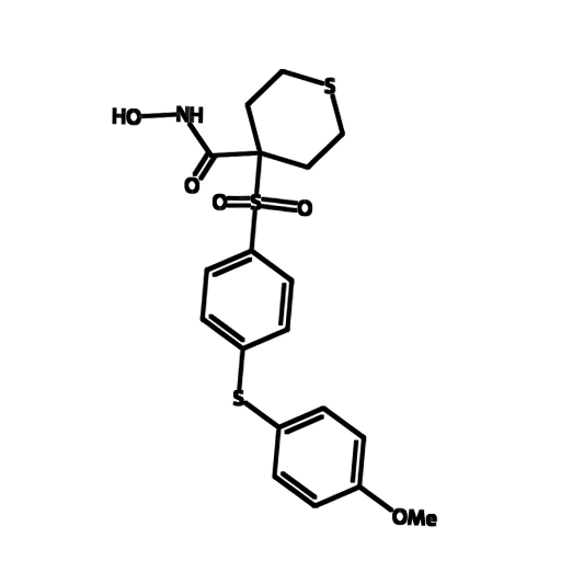 COc1ccc(Sc2ccc(S(=O)(=O)C3(C(=O)NO)CCSCC3)cc2)cc1